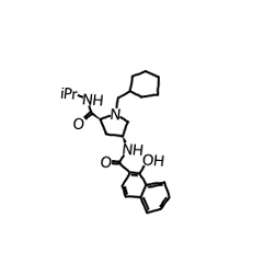 CC(C)NC(=O)[C@@H]1C[C@H](NC(=O)c2ccc3ccccc3c2O)CN1CC1CCCCC1